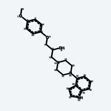 COc1ccc(OCC(O)CN2CCN(c3cccc4[nH]ccc34)CC2)cc1